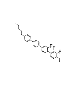 CCCCCc1ccc(-c2ccc(-c3ccc(-c4ccc(CC)c(F)c4F)c(F)c3)cc2)cc1